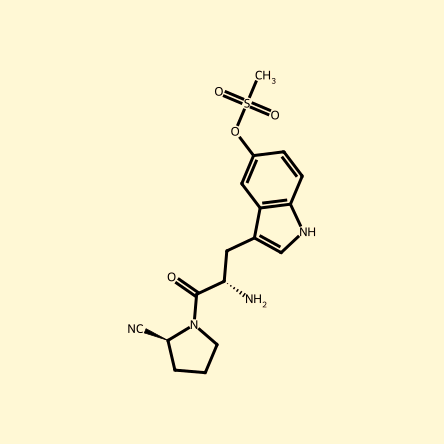 CS(=O)(=O)Oc1ccc2[nH]cc(C[C@H](N)C(=O)N3CCC[C@H]3C#N)c2c1